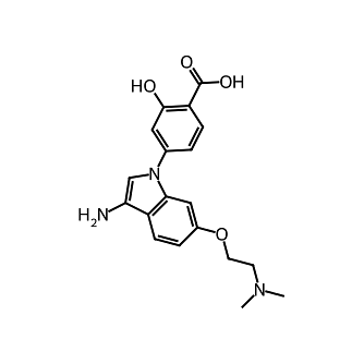 CN(C)CCOc1ccc2c(N)cn(-c3ccc(C(=O)O)c(O)c3)c2c1